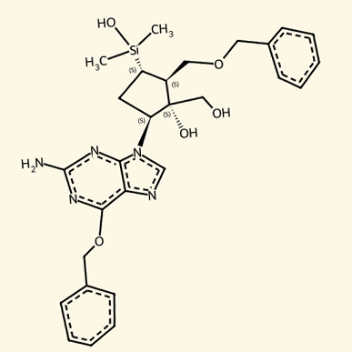 C[Si](C)(O)[C@H]1C[C@H](n2cnc3c(OCc4ccccc4)nc(N)nc32)[C@](O)(CO)[C@@H]1COCc1ccccc1